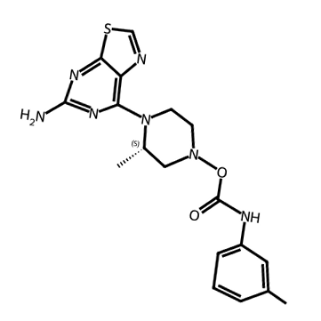 Cc1cccc(NC(=O)ON2CCN(c3nc(N)nc4scnc34)[C@@H](C)C2)c1